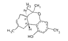 CC1=CC[C@@H]2[C@@H](C1)c1c(O)cc(C)cc1OC2(C)C